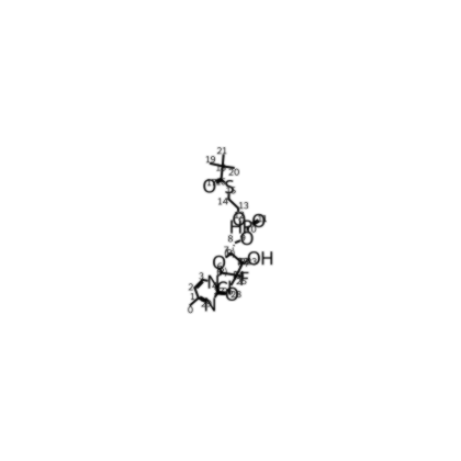 Cc1ccn([C@@H]2O[C@H](CO[PH](=O)OCCSC(=O)C(C)(C)C)[C@@H](O)[C@]2(F)Cl)c(=O)n1